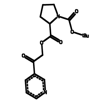 CC(C)(C)OC(=O)N1CCCC1C(=O)OCC(=O)c1cccnc1